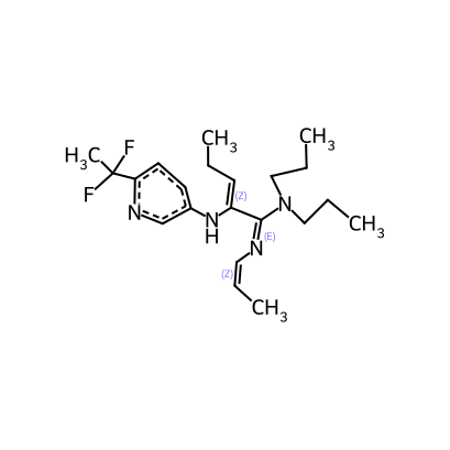 C\C=C/N=C(\C(=C\CC)Nc1ccc(C(C)(F)F)nc1)N(CCC)CCC